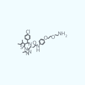 Cc1sc2c(c1C)C(c1ccc(Cl)cc1)=N[C@@H](CC(=O)Nc1ccc(OCCOCCN)cc1)c1nnc(C)n1-2